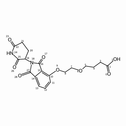 O=C(O)CCCOCCOc1cccc2c1C(=O)N(C1CCC(=O)NC1=O)C2=O